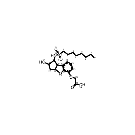 CCCCCCCCS(=O)(=O)NC1C(O)CC2Oc3c(OCC(=O)O)cccc3C21